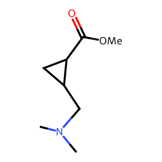 COC(=O)C1CC1CN(C)C